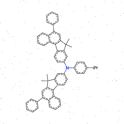 CC(C)c1ccc(N(c2ccc3c(c2)C(C)(C)c2cc(-c4ccccc4)c4ccccc4c2-3)c2ccc3c(c2)C(C)(C)c2cc(-c4ccccc4)c4ccccc4c2-3)cc1